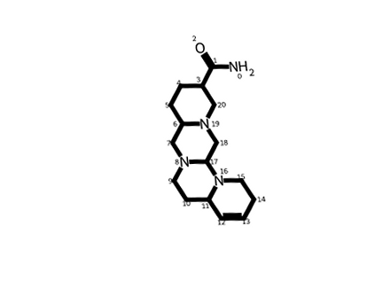 NC(=O)C1CCC2CN3CCC4C=CCCN4C3CN2C1